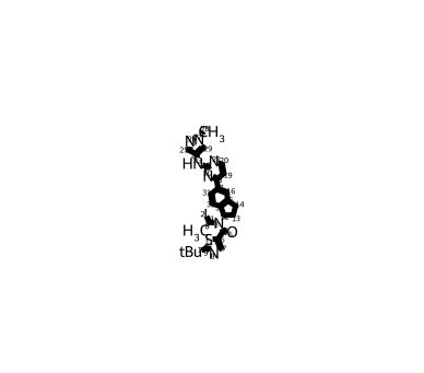 C[C@@H](I)N(C(=O)c1cnc(C(C)(C)C)s1)C1CCc2cc(-c3ccnc(Nc4cnn(C)c4)n3)ccc21